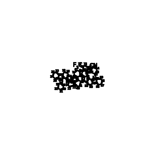 N#Cc1ccc(-c2ccc(-n3c4ccccc4c4c3ccc3c5ccccc5n(-c5ccccc5)c34)c(-c3c(C#N)cccc3-n3c4ccccc4c4c3ccc3c5ccccc5n(-c5ccccc5)c34)c2)c(C(F)(F)F)c1